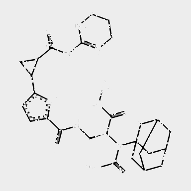 COC(=O)N([C@@H](CNC(=O)c1ccc(C2CC2C(=O)NC2=NCCCN2)s1)C(=O)OC(C)(C)C)C12CC3CC(CC(C3)C1)C2